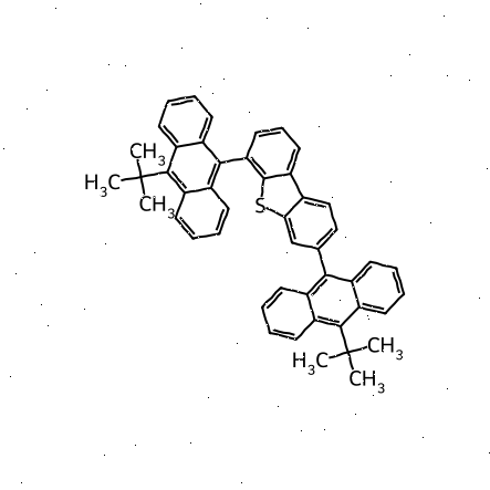 CC(C)(C)c1c2ccccc2c(-c2ccc3c(c2)sc2c(-c4c5ccccc5c(C(C)(C)C)c5ccccc45)cccc23)c2ccccc12